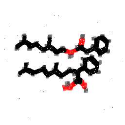 CC(C)=CCC/C(C)=C/CC(C(=O)O)c1ccccc1.CC(C)=CCC/C(C)=C/COC(=O)Cc1ccccc1